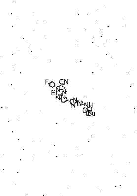 CCc1nc2ccc(-c3cnc(N4CC(NC(=O)OC(C)(C)C)C4)nc3)cn2c1N(C)c1nc(-c2ccc(F)cc2)c(C#N)s1